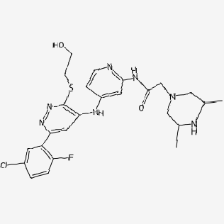 CC1CN(CC(=O)Nc2cc(Nc3cc(-c4cc(Cl)ccc4F)nnc3SCCO)ccn2)CC(C)N1